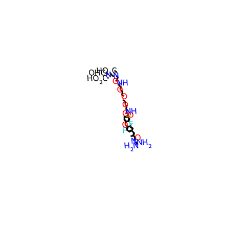 C/C(=C\c1cc(F)c(Oc2ccc(S(=O)(=O)NCCOCCOCCOCCNC(=O)CN(CCN(CC=O)CC(=O)O)CC(=O)O)cc2)c(F)c1)C(=O)N=C(N)N